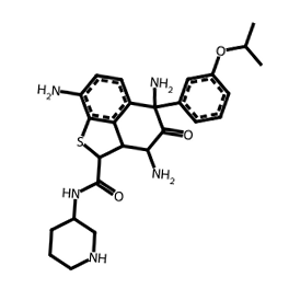 CC(C)Oc1cccc(C2(N)C(=O)C(N)C3c4c2ccc(N)c4SC3C(=O)NC2CCCNC2)c1